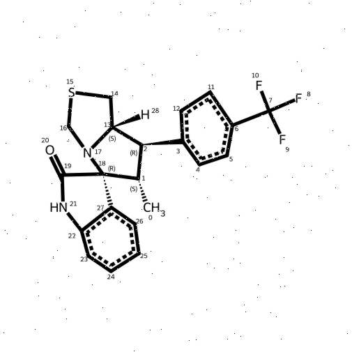 C[C@H]1[C@H](c2ccc(C(F)(F)F)cc2)[C@H]2CSCN2[C@]12C(=O)Nc1ccccc12